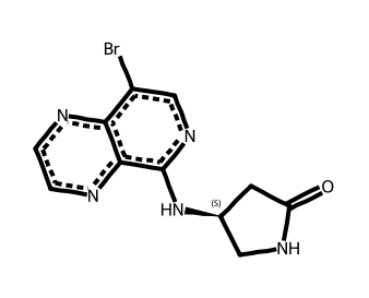 O=C1C[C@H](Nc2ncc(Br)c3nccnc23)CN1